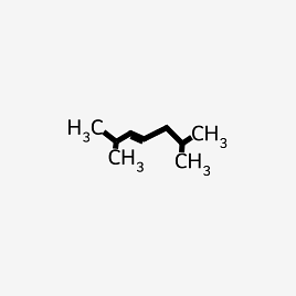 CC(C)C=CCC(C)C